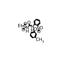 CCS(=O)(=O)NC(=O)Nc1ccccc1S(=O)(=O)Oc1cccc(C)c1